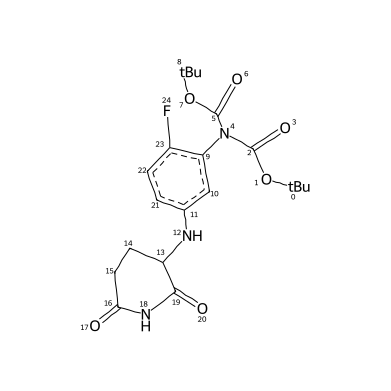 CC(C)(C)OC(=O)N(C(=O)OC(C)(C)C)c1cc(NC2CCC(=O)NC2=O)ccc1F